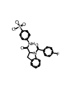 O=C(Nc1ccc(S(=O)(=O)Cl)cc1)C1Cc2ccccc2N1C(=O)c1ccc(F)cc1